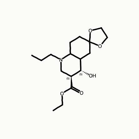 CCCN1C[C@H](C(=O)OCC)[C@@H](O)C2CC3(CCC21)OCCO3